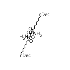 CCCCCCCCCCCCCCCCCC(=O)N(N)C(=O)C(=O)N(N)C(=O)CCCCCCCCCCCCCCCCC